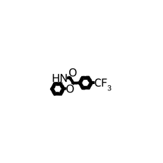 O=C1Nc2ccccc2OC1c1ccc(C(F)(F)F)cc1